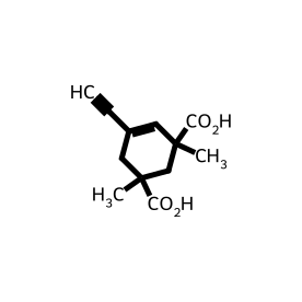 C#CC1=CC(C)(C(=O)O)CC(C)(C(=O)O)C1